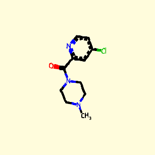 CN1CCN(C(=O)c2cc(Cl)ccn2)CC1